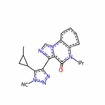 CC1CC1c1c(-c2ncn3c2c(=O)n(C(C)C)c2ccccc23)nnn1C#N